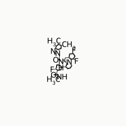 CNC(=O)c1cc(-c2cccnc2[C@H](Cc2cc(F)cc(F)c2)NC(=O)Cn2cnc3cc(C)c(C)cc32)ccc1F